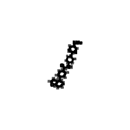 CNc1cnc(N2CCC(NC(=O)c3ccc(-c4nccc5occc45)cc3)CC2)nc1